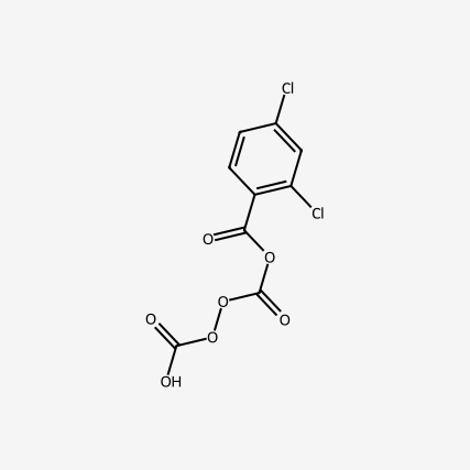 O=C(O)OOC(=O)OC(=O)c1ccc(Cl)cc1Cl